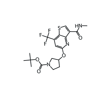 CNC(=O)c1csc2c(C(F)(F)F)cc(OC3CCN(C(=O)OC(C)(C)C)C3)nc12